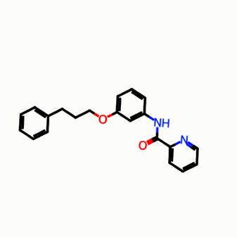 O=C(Nc1cccc(OCCCc2ccccc2)c1)c1ccccn1